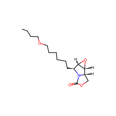 CCCCOCCCCCC[C@H]1[C@@H]2O[C@@H]2[C@@H]2COC(=O)N12